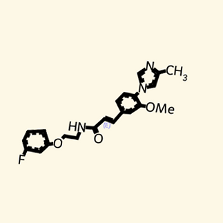 COc1cc(/C=C/C(=O)NCCOc2cccc(F)c2)ccc1-n1cnc(C)c1